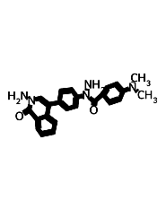 CN(C)c1ccc(C(=O)N(N)c2ccc(-c3cn(N)c(=O)c4ccccc34)cc2)cc1